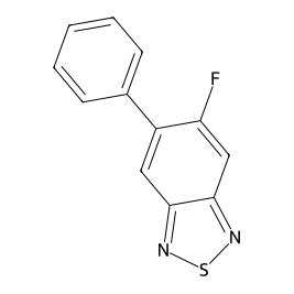 Fc1cc2nsnc2cc1-c1ccccc1